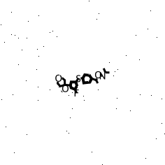 COC1(c2cc(F)cc(Sc3ccc(C(C)ON=C(C)C)cc3)c2)CCOCC1